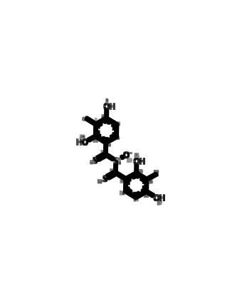 Cc1c(O)ccc(C(=S)[S+]([O-])C(=S)c2ccc(O)c(C)c2O)c1O